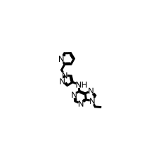 CCn1cnc2c(Nc3cnn(Cc4ccccn4)c3)ncnc21